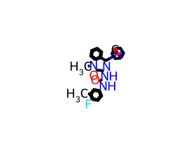 Cc1cc(NC(=O)N[C@@H]2N=C(N3CC4CCC(CC4)C3)c3ccccc3N(C)C2=O)ccc1F